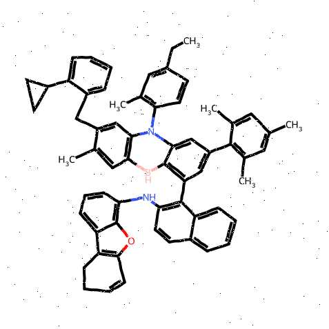 CCc1ccc(N2c3cc(Cc4ccccc4C4CC4)c(C)cc3Bc3c(-c4c(Nc5cccc6c7c(oc56)C=CCC7)ccc5ccccc45)cc(-c4c(C)cc(C)cc4C)cc32)c(C)c1